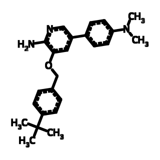 CN(C)c1ccc(-c2cnc(N)c(OCc3ccc(C(C)(C)C)cc3)c2)cc1